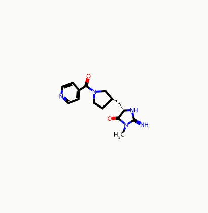 CN1C(=N)N[C@@H](C[C@@H]2CCN(C(=O)c3ccncc3)C2)C1=O